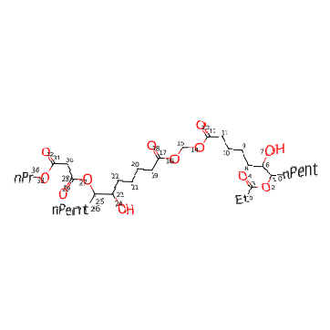 CCCCCC(OC(=O)CC)C(O)CCCCC(=O)OCOC(=O)CCCCC(O)C(CCCCC)OC(=O)CC(=O)OCCC